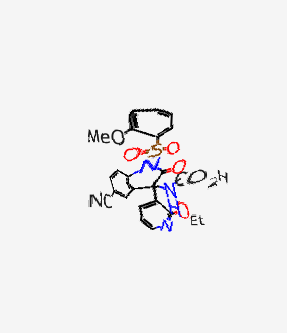 CCOc1ncccc1C1(NC(=O)O)C(=O)N(S(=O)(=O)c2ccccc2OC)c2ccc(C#N)cc21